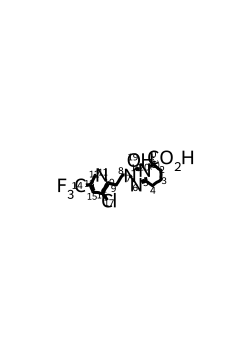 O=C(O)[C@@H]1CCCC2=NN(CCc3ncc(C(F)(F)F)cc3Cl)C(O)N21